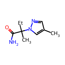 CCC(C)(C(N)=O)n1cc(C)cn1